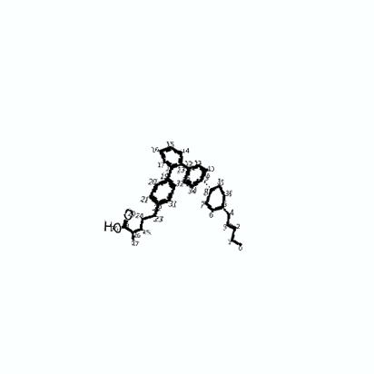 CCCCC[C@H]1CC[C@H](c2ccc(-c3ccccc3-c3ccc(CCCC(C)C(=O)O)cc3)cc2)CC1